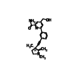 C=C1N(C)CC[C@@]1(C)C#Cc1cccc(-c2cc(CO)cc(C(N)=O)n2)c1